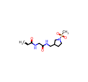 C=CC(=O)NCC(=O)NCC1CCN(S(C)(=O)=O)C1